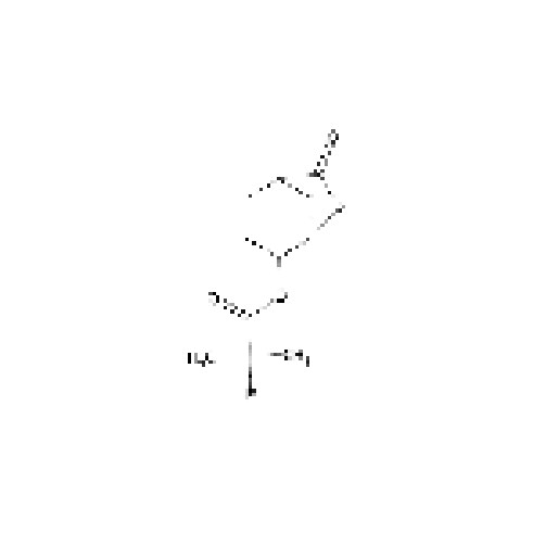 CC(C)(F)C(=O)OC1CCC2CC1OC2=O